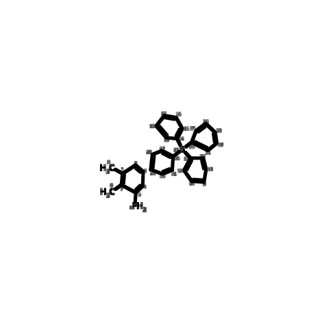 Cc1cccc(P)c1C.c1ccc([B-](c2ccccc2)(c2ccccc2)c2ccccc2)cc1